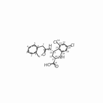 Cc1ccccc1CC(=O)N[C@H]1C[C@H](C(=O)O)Nc2cc(Cl)cc(Cl)c21